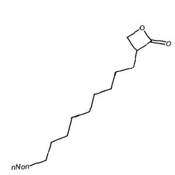 CCCCCCCCCCCCCCCCCCC1COC1=O